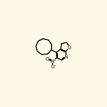 O=[N+]([O-])c1cnc2c(c1C1CCCCCCCC1)CCO2